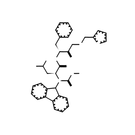 COC(=O)N(C1c2ccccc2-c2ccccc21)[C@@H](CC(C)C)C(=O)N[C@@H](Cc1ccccc1)C(=O)CSCc1ccco1